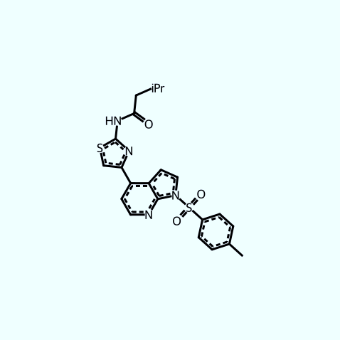 Cc1ccc(S(=O)(=O)n2ccc3c(-c4csc(NC(=O)CC(C)C)n4)ccnc32)cc1